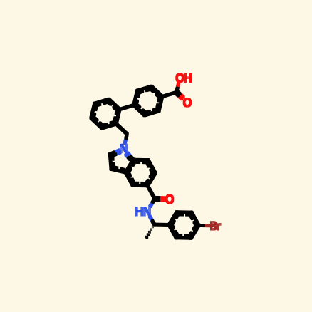 C[C@H](NC(=O)c1ccc2c(ccn2Cc2ccccc2-c2ccc(C(=O)O)cc2)c1)c1ccc(Br)cc1